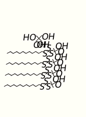 CCCCCCCCCCCCSC(=S)SC(C)(C)C(=O)O.CCCCCCCCCCCCSC(=S)SC(C)(C)C(=O)O.CCCCCCCCCCCCSC(=S)SC(C)(C)C(=O)O.CCCCCCCCCCCCSC(=S)SC(C)(C)C(=O)O.OCC(CO)(CO)CO